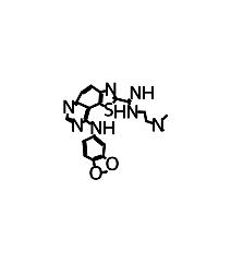 CN(C)CCNC(=N)c1nc2ccc3ncnc(Nc4ccc5c(c4)OCO5)c3c2s1